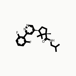 CC(C)CNC(=O)[C@@]1(C)CC[C@H](c2cnnc(-c3c(F)cccc3F)c2)C1(C)C